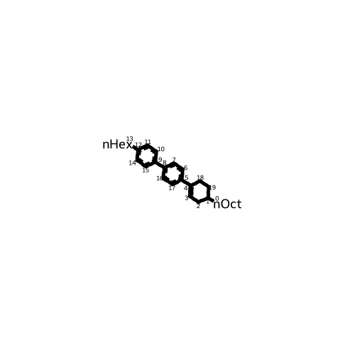 CCCCCCCCC1CC=C(c2ccc(-c3ccc(CCCCCC)cc3)cc2)CC1